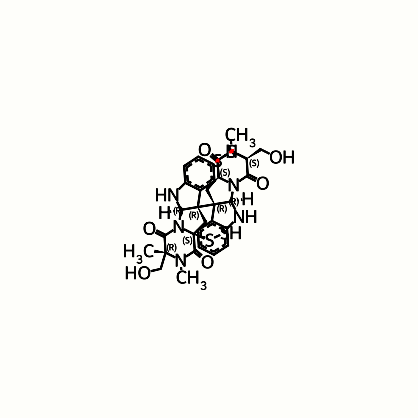 CN1C(=O)[C@@]23C[C@]4([C@]56C[C@]7(SS)C(=O)N(C)[C@](C)(CO)C(=O)N7[C@H]5Nc5ccccc56)c5ccccc5N[C@@H]4N2C(=O)[C@]1(CO)SS3